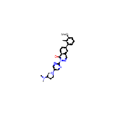 COc1cccc(-c2ccc3c(=O)n(-c4ncc(N5CCC(N(C)C)C5)cn4)ncc3c2)c1C